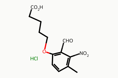 Cc1ccc(OCCCCC(=O)O)c(C=O)c1[N+](=O)[O-].Cl